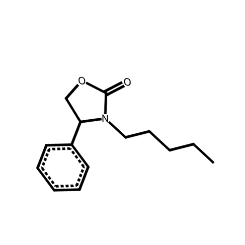 CCCCCN1C(=O)OCC1c1ccccc1